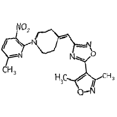 Cc1ccc([N+](=O)[O-])c(N2CCC(=Cc3noc(-c4c(C)noc4C)n3)CC2)n1